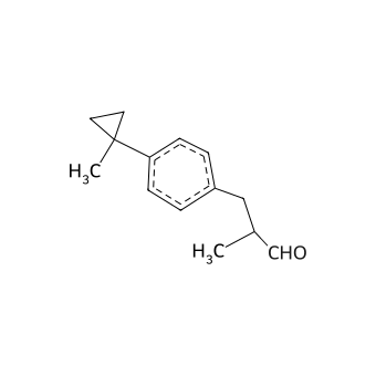 CC(C=O)Cc1ccc(C2(C)CC2)cc1